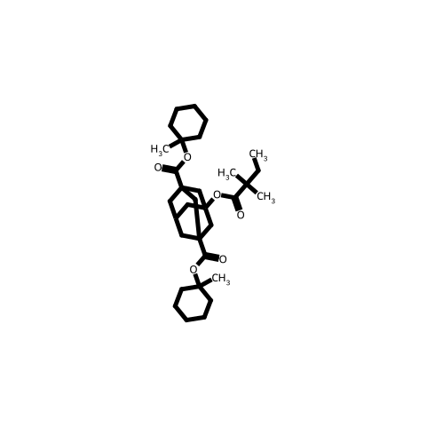 CCC(C)(C)C(=O)OC12CC3CC(C(=O)OC4(C)CCCCC4)(C1)CC(C(=O)OC1(C)CCCCC1)(C3)C2